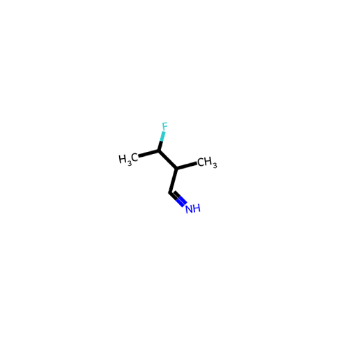 CC(F)C(C)C=N